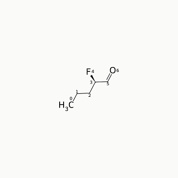 CCC[C@@H](F)C=O